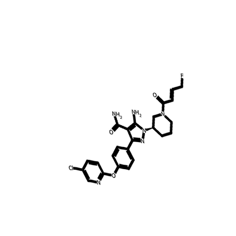 NC(=O)c1c(-c2ccc(Oc3ccc(Cl)cn3)cc2)nn([C@@H]2CCCN(C(=O)/C=C/CF)C2)c1N